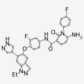 CCn1ncc2cc(Oc3ccc(NC(=O)c4ccc(N)n(-c5ccc(F)cc5)c4=O)cc3F)c(-c3cn[nH]c3)cc21